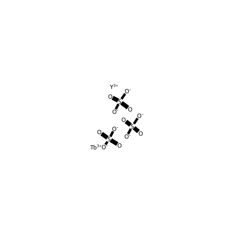 O=S(=O)([O-])[O-].O=S(=O)([O-])[O-].O=S(=O)([O-])[O-].[Tb+3].[Y+3]